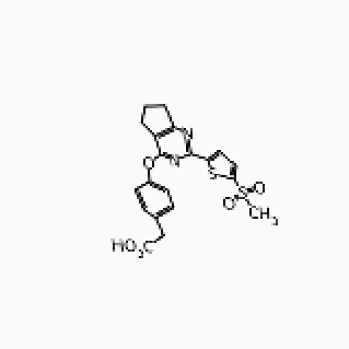 CS(=O)(=O)c1ccc(-c2nc3c(c(Oc4ccc(CC(=O)O)cc4)n2)CCC3)s1